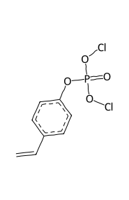 C=Cc1ccc(OP(=O)(OCl)OCl)cc1